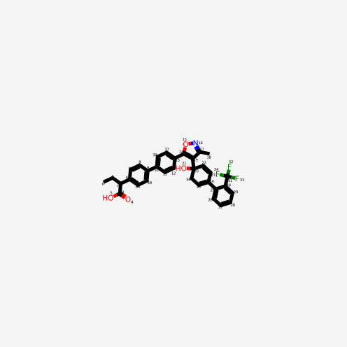 CCC(C(=O)O)c1ccc(-c2ccc(-c3onc(C)c3C3(O)C=CC(c4ccccc4C(F)(F)F)=CC3)cc2)cc1